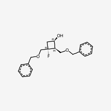 O[C@@H]1C[C@](F)(COCc2ccccc2)[C@@H]1COCc1ccccc1